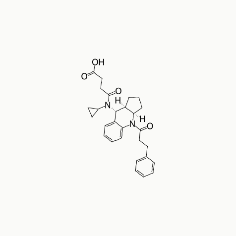 O=C(O)CCC(=O)N(C1CC1)[C@H]1c2ccccc2N(C(=O)CCc2ccccc2)[C@@H]2CCC[C@@H]21